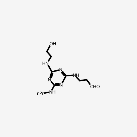 CCCNc1nc(NCCO)nc(NCCC=O)n1